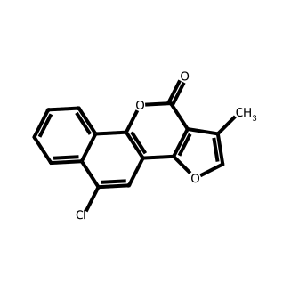 Cc1coc2c1c(=O)oc1c3ccccc3c(Cl)cc21